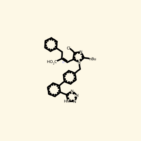 CCCCc1nc(Cl)c(/C=C(\Cc2ccccc2)C(=O)O)n1Cc1ccc(-c2ccccc2-c2nnn[nH]2)cc1